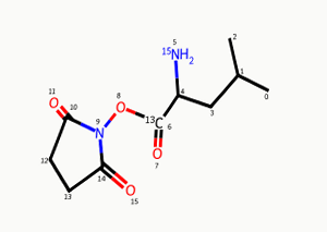 CC(C)CC([15NH2])[13C](=O)ON1C(=O)CCC1=O